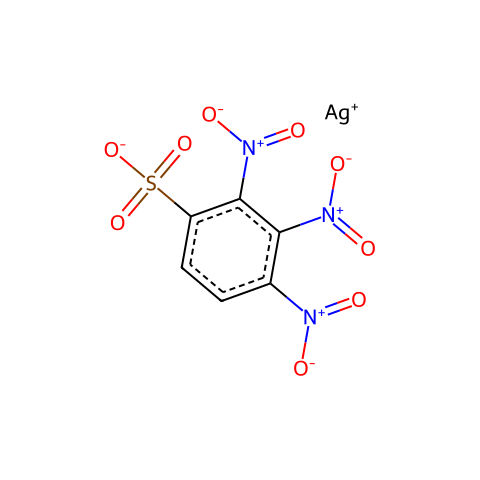 O=[N+]([O-])c1ccc(S(=O)(=O)[O-])c([N+](=O)[O-])c1[N+](=O)[O-].[Ag+]